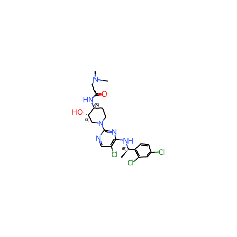 C[C@@H](Nc1nc(N2CC[C@H](NC(=O)CN(C)C)[C@@H](O)C2)ncc1Cl)c1ccc(Cl)cc1Cl